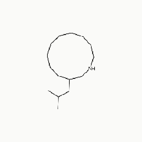 CC(C)CC1CCCCCCCCCNC1